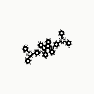 c1ccc(-c2cc(-c3ccc(-n4c5ccccc5c5c6c(c7ccccc7c54)c4ccccc4c4c6c5ccccc5n4-c4ccc(-c5nc(-c6ccccc6)nc(-c6ccccc6)n5)cc4)cc3)nc(-c3ccccc3)n2)cc1